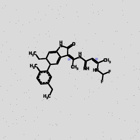 CCc1ccc(C)c(C2C=C3C(=CC2CC)NC(=O)/C3=C(/C)NC(=N)/C=C(/C)NC(F)F)c1